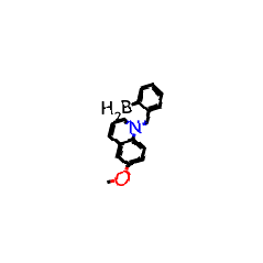 Bc1ccccc1C[n+]1cccc2cc(OC)ccc21